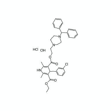 CCOC(=O)C1=C(C)NC(C)=C(C(=O)OCCN2CCN(C(c3ccccc3)c3ccccc3)CC2)C1c1cccc(Cl)c1.Cl.Cl